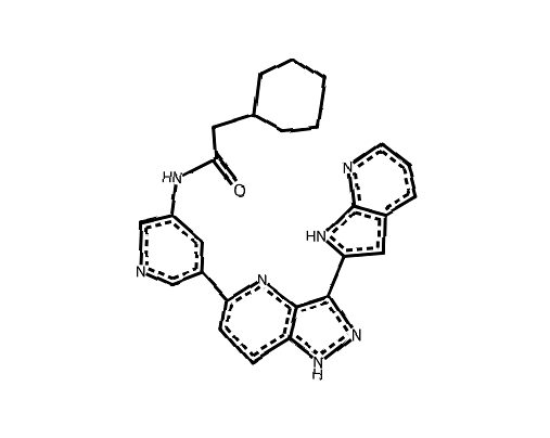 O=C(CC1CCCCC1)Nc1cncc(-c2ccc3[nH]nc(-c4cc5cccnc5[nH]4)c3n2)c1